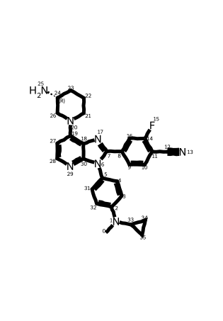 CN(c1ccc(-n2c(-c3ccc(C#N)c(F)c3)nc3c(N4CCC[C@@H](N)C4)ccnc32)cc1)C1CC1